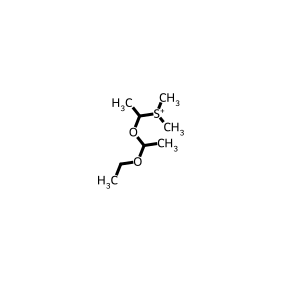 CCOC(C)OC(C)[S+](C)C